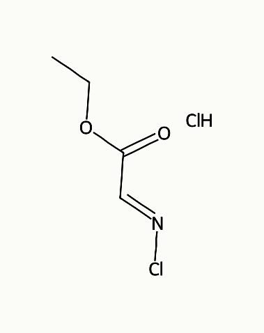 CCOC(=O)C=NCl.Cl